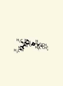 CCn1c(-c2cnc(C)nc2)nc2c(O[C@H]3C[C@@H](NC(=O)OC(C)(C)C)C3)ncnc21